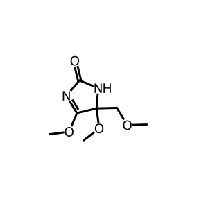 COCC1(OC)NC(=O)N=C1OC